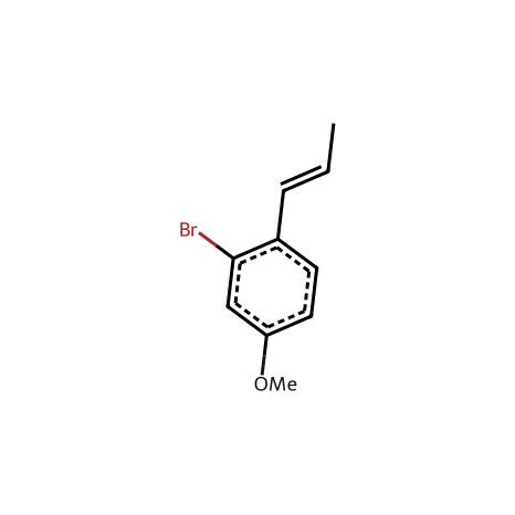 C/C=C/c1ccc(OC)cc1Br